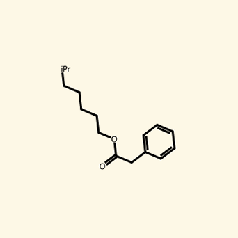 CC(C)CCCCCOC(=O)Cc1ccccc1